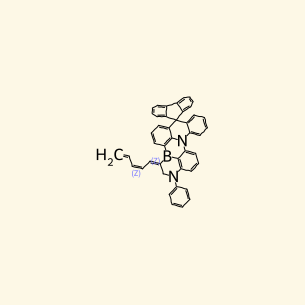 C=C/C=C\C=C1/CN(c2ccccc2)c2cccc3c2B1c1cccc2c1N3c1ccccc1C21c2ccccc2-c2ccccc21